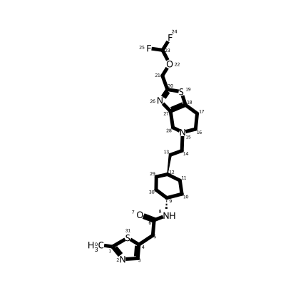 Cc1ncc(CC(=O)N[C@H]2CC[C@H](CCN3CCc4sc(COC(F)F)nc4C3)CC2)s1